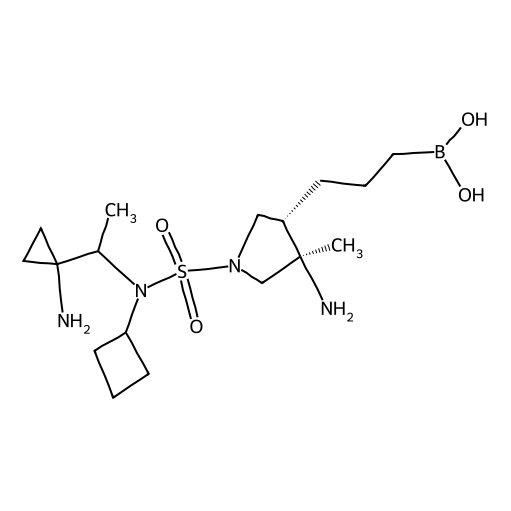 CC(N(C1CCC1)S(=O)(=O)N1C[C@H](CCCB(O)O)[C@@](C)(N)C1)C1(N)CC1